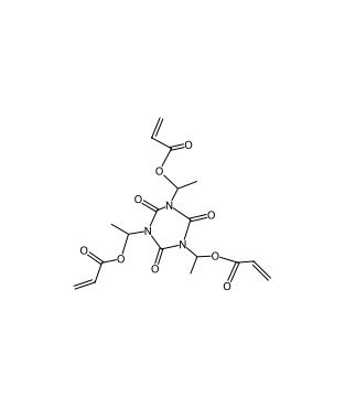 C=CC(=O)OC(C)n1c(=O)n(C(C)OC(=O)C=C)c(=O)n(C(C)OC(=O)C=C)c1=O